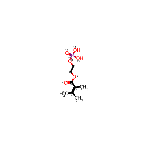 CC(C)=C(C)C(=O)OCCOP(=O)(O)O